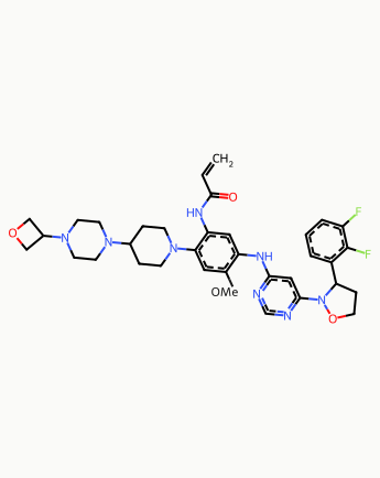 C=CC(=O)Nc1cc(Nc2cc(N3OCCC3c3cccc(F)c3F)ncn2)c(OC)cc1N1CCC(N2CCN(C3COC3)CC2)CC1